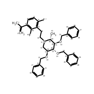 C=C(C)c1ccc(F)c(CCN2C[C@H](OCc3ccccc3)[C@@H](OCc3ccccc3)[C@H](OCc3ccccc3)[C@H]2C)c1F